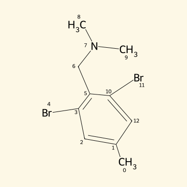 Cc1cc(Br)c(CN(C)C)c(Br)c1